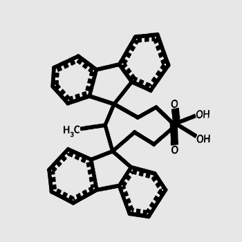 CC(C1(CCC(=O)O)c2ccccc2-c2ccccc21)C1(CCC(=O)O)c2ccccc2-c2ccccc21